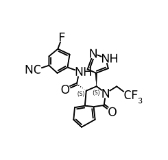 N#Cc1cc(F)cc(NC(=O)[C@H]2c3ccccc3C(=O)N(CC(F)(F)F)[C@@H]2c2cn[nH]c2)c1